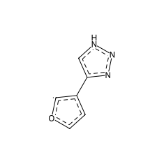 [c]1occc1-c1c[nH]nn1